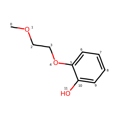 COCCOc1ccccc1O